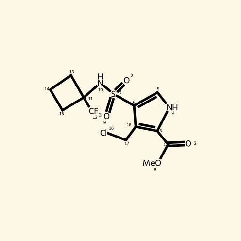 COC(=O)c1[nH]cc(S(=O)(=O)NC2(C(F)(F)F)CCC2)c1CCl